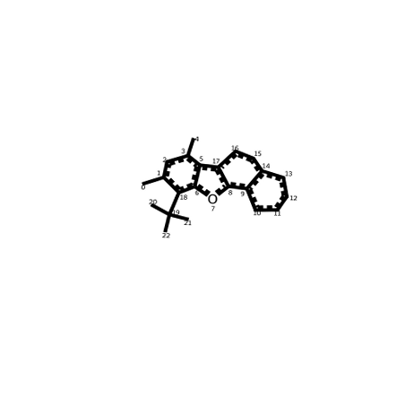 Cc1cc(C)c2c(oc3c4ccccc4ccc32)c1C(C)(C)C